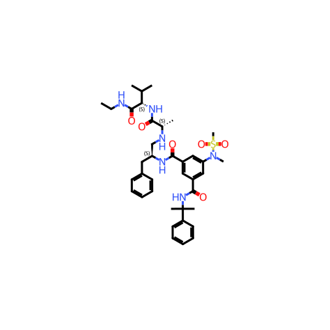 CCNC(=O)[C@@H](NC(=O)[C@H](C)NC[C@H](Cc1ccccc1)NC(=O)c1cc(C(=O)NC(C)(C)c2ccccc2)cc(N(C)S(C)(=O)=O)c1)C(C)C